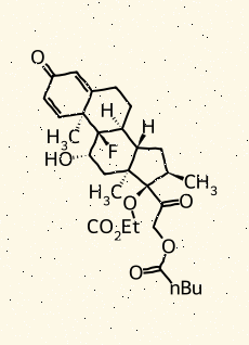 CCCCC(=O)OCC(=O)[C@@]1(OC(=O)OCC)[C@H](C)C[C@H]2[C@@H]3CCC4=CC(=O)C=C[C@]4(C)[C@@]3(F)[C@@H](O)C[C@@]21C